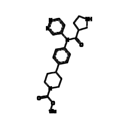 CC(C)(C)OC(=O)N1CCC(c2ccc(N(C(=O)C3CCNC3)c3ccnnc3)cc2)CC1